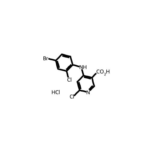 Cl.O=C(O)c1cnc(Cl)cc1Nc1ccc(Br)cc1Cl